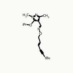 Cc1nn(C)c(OC(C)C)c1C=NOCC=CC#CC(C)(C)C